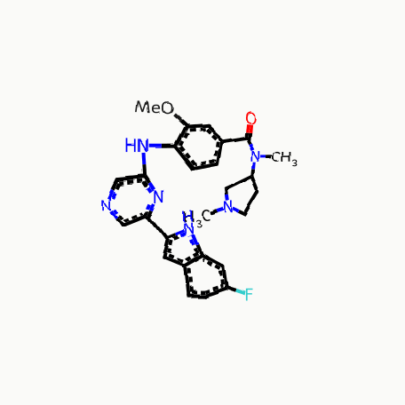 COc1cc(C(=O)N(C)C2CCN(C)C2)ccc1Nc1cncc(-c2cc3ccc(F)cc3[nH]2)n1